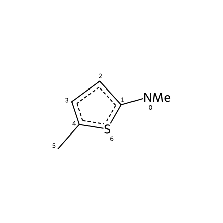 CNc1ccc(C)s1